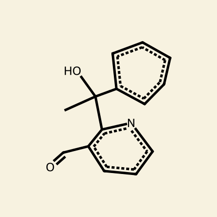 CC(O)(c1ccccc1)c1ncccc1C=O